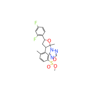 COS(=O)(=O)c1ccc(C)c(C2CC(c3ccc(F)cc3F)OC2(C)n2cncn2)c1